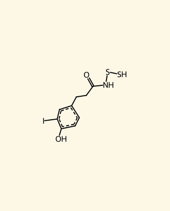 O=C(CCc1ccc(O)c(I)c1)NSS